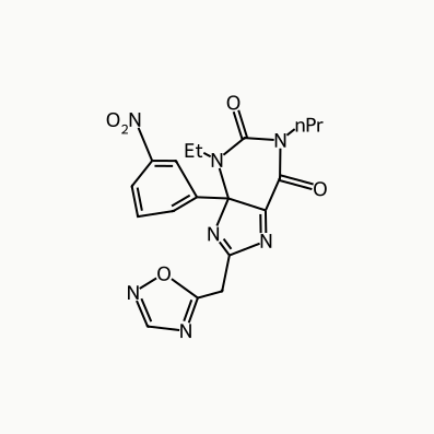 CCCN1C(=O)C2=NC(Cc3ncno3)=NC2(c2cccc([N+](=O)[O-])c2)N(CC)C1=O